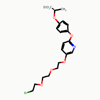 CCOC(=O)[C@@H](C)Oc1ccc(Oc2ccc(OCCOCCOCCBr)cn2)cc1